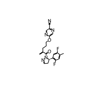 C=C(CCCOc1cnc(C#N)cn1)C(=O)N1N=CC[C@@H]1c1cc(F)c(C)cc1F